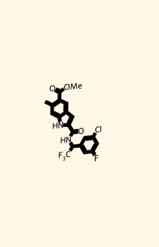 COC(=O)c1cc2cc(C(=O)NC(c3cc(F)cc(Cl)c3)C(F)(F)F)[nH]c2cc1C